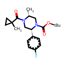 C[C@@H]1CN(C(=O)OC(C)(C)C)[C@H](c2ccc(F)cc2)CN1C(=O)C1(C)CC1